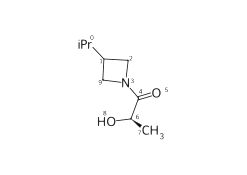 CC(C)C1CN(C(=O)[C@@H](C)O)C1